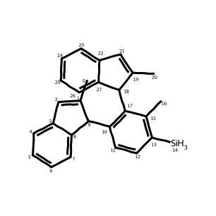 CC1=Cc2ccccc2C1c1ccc([SiH3])c(C)c1C1C(C)=Cc2ccccc21